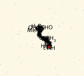 CCN(C=N)C(=N)CC1(c2cccc(-n3cc4c(C(C)(F)F)cc(CN5CCC=C(OCCN6CCC(CN7CCN(c8ccc(C=O)c(CN(C)C(C=O)CCC(=O)NC)c8)CC7)CC6)C5)cn4c3=O)c2)COC1